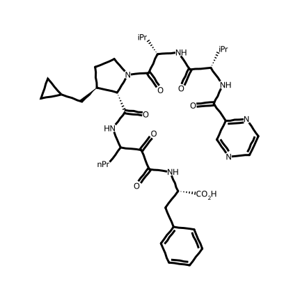 CCCC(NC(=O)[C@@H]1[C@@H](CC2CC2)CCN1C(=O)[C@@H](NC(=O)[C@@H](NC(=O)c1cnccn1)C(C)C)C(C)C)C(=O)C(=O)N[C@@H](Cc1ccccc1)C(=O)O